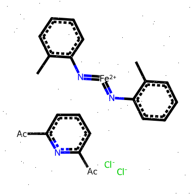 CC(=O)c1cccc(C(C)=O)n1.Cc1ccccc1[N]=[Fe+2]=[N]c1ccccc1C.[Cl-].[Cl-]